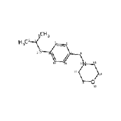 CC(C)Sc1ccc(CN2CCOCC2)cc1